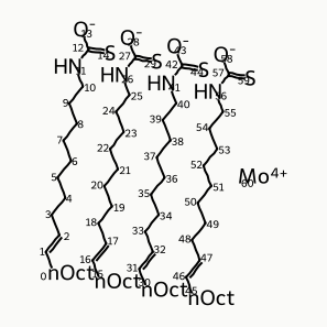 CCCCCCCCC=CCCCCCCCCNC([O-])=S.CCCCCCCCC=CCCCCCCCCNC([O-])=S.CCCCCCCCC=CCCCCCCCCNC([O-])=S.CCCCCCCCC=CCCCCCCCCNC([O-])=S.[Mo+4]